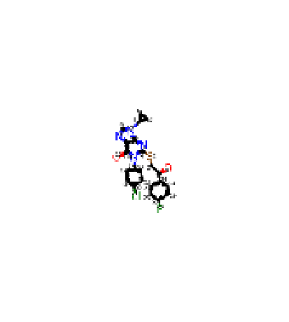 O=C(CSc1nc2c(ncn2C2CC2)c(=O)n1-c1ccc(Cl)cc1)c1ccc(F)cc1